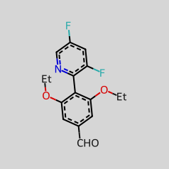 CCOc1cc(C=O)cc(OCC)c1-c1ncc(F)cc1F